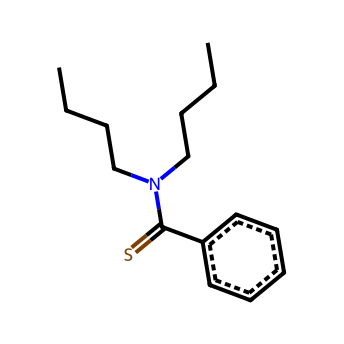 CCCCN(CCCC)C(=S)c1ccccc1